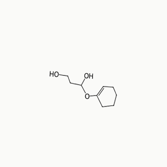 OCCC(O)OC1=CCCCC1